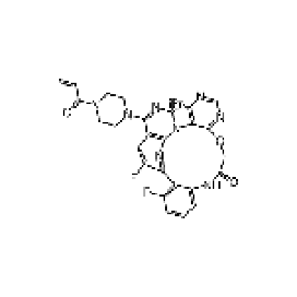 C=CC(=O)N1CCN(c2nc(=O)n3c4nc(c(F)cc24)-c2c(F)cccc2NC(=O)COc2ncnc(C(C)C)c2-3)CC1